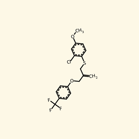 C=C(COc1ccc(C(F)(F)F)cc1)CSc1ccc(OC)cc1Cl